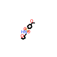 CC(=O)c1ccc(S(=O)(=O)NCc2ccco2)cc1